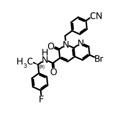 C[C@@H](NC(=O)c1cc2cc(Br)cnc2n(Cc2ccc(C#N)cc2)c1=O)c1ccc(F)cc1